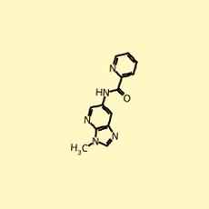 Cn1cnc2cc(NC(=O)c3ccccn3)cnc21